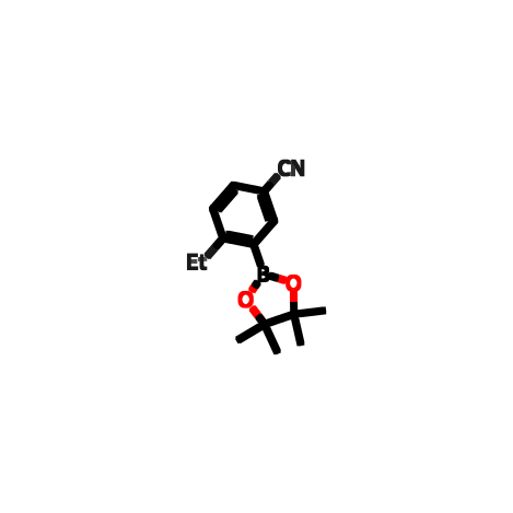 CCc1ccc(C#N)cc1B1OC(C)(C)C(C)(C)O1